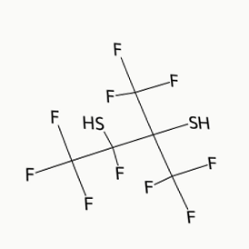 FC(F)(F)C(F)(S)C(S)(C(F)(F)F)C(F)(F)F